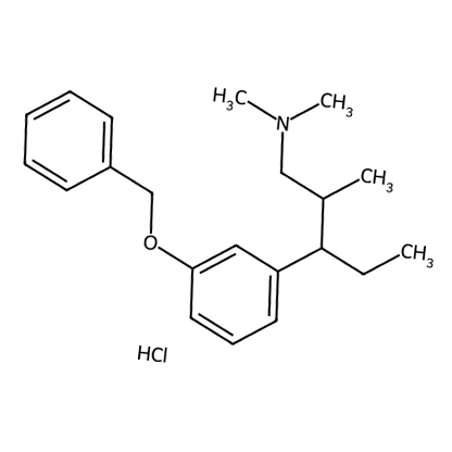 CCC(c1cccc(OCc2ccccc2)c1)C(C)CN(C)C.Cl